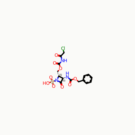 O=C(CCl)NC(=O)OC[C@@H]1[C@H](NC(=O)OCc2ccccc2)C(=O)N1S(=O)(=O)O